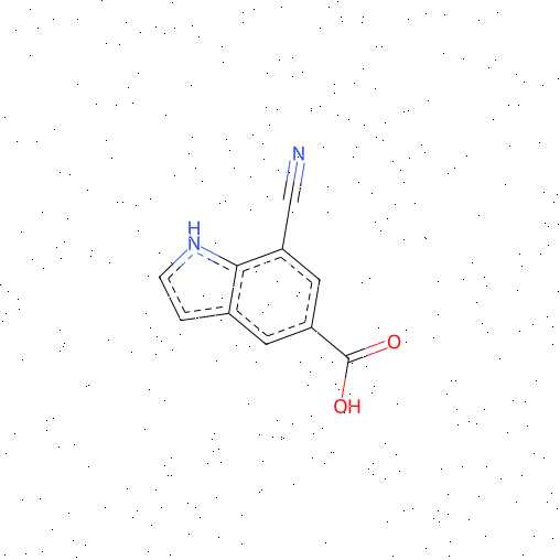 N#Cc1cc(C(=O)O)cc2cc[nH]c12